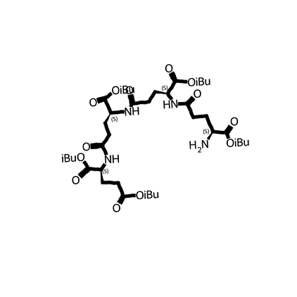 CC(C)COC(=O)CC[C@H](NC(=O)CC[C@H](NC(=O)CC[C@H](NC(=O)CC[C@H](N)C(=O)OCC(C)C)C(=O)OCC(C)C)C(=O)OCC(C)C)C(=O)OCC(C)C